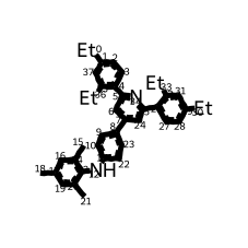 CCc1ccc(-c2cc(-c3ccc(Nc4c(C)cc(C)cc4C)cc3)cc(-c3ccc(CC)cc3CC)n2)c(CC)c1